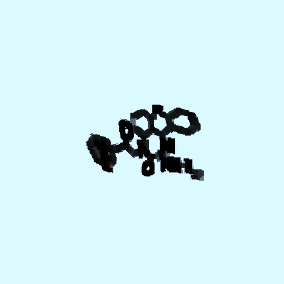 N[C@@H]1N=C(c2ccccc2F)c2ccccc2N(CC(=O)N2CC3CCC(CC3)C2)C1=O